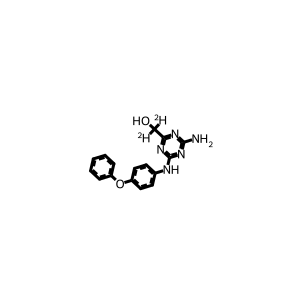 [2H]C([2H])(O)c1nc(N)nc(Nc2ccc(Oc3ccccc3)cc2)n1